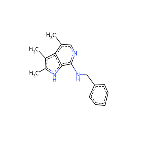 Cc1[nH]c2c(NCc3ccccc3)ncc(C)c2c1C